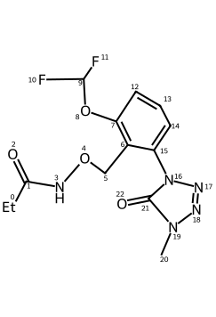 CCC(=O)NOCc1c(OC(F)F)cccc1-n1nnn(C)c1=O